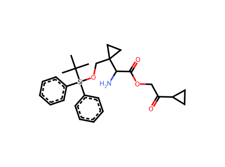 CC(C)(C)[Si](OCC1(C(N)C(=O)OCC(=O)C2CC2)CC1)(c1ccccc1)c1ccccc1